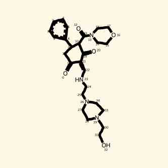 O=C1CC(c2ccccc2)C(C(=O)N2CCOCC2)C(=O)C1=CNCCN1CCN(CCO)CC1